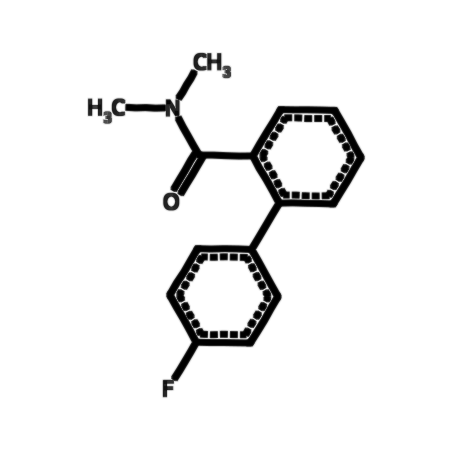 CN(C)C(=O)c1ccccc1-c1ccc(F)cc1